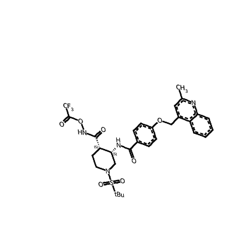 Cc1cc(COc2ccc(C(=O)N[C@@H]3CN(S(=O)(=O)C(C)(C)C)CC[C@@H]3C(=O)NOC(=O)C(F)(F)F)cc2)c2ccccc2n1